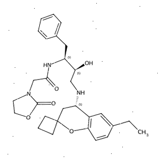 CCc1ccc2c(c1)[C@@H](NC[C@H](O)[C@H](Cc1ccccc1)NC(=O)CN1CCOC1=O)CC1(CCC1)O2